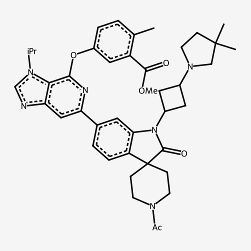 COC(=O)c1cc(Oc2nc(-c3ccc4c(c3)N(C3CC(N5CCC(C)(C)C5)C3)C(=O)C43CCN(C(C)=O)CC3)cc3ncn(C(C)C)c23)ccc1C